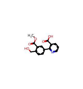 COC(=O)c1cc(-c2ncccc2C(=O)O)ccc1CO